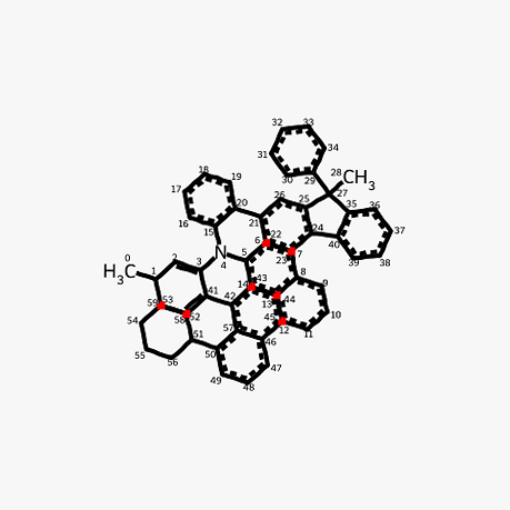 CC1C=C(N(c2ccc3ccccc3c2)c2ccccc2-c2ccc3c(c2)C(C)(c2ccccc2)c2ccccc2-3)C(c2cccc3cccc(C4CCCCC4)c23)=CC1